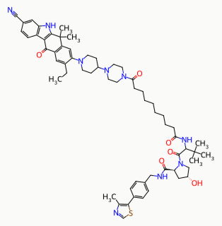 CCc1cc2c(cc1N1CCC(N3CCN(C(=O)CCCCCCCCC(=O)NC(C(=O)N4C[C@H](O)C[C@H]4C(=O)NCc4ccc(-c5scnc5C)cc4)C(C)(C)C)CC3)CC1)C(C)(C)c1[nH]c3cc(C#N)ccc3c1C2=O